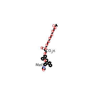 C=C(C)C(=O)OCCOCCOCCOCCOCCOCCOC(=C=O)CC(COc1ccc(C2(c3ccccc3)C=Cc3c4c(c5cc(N6CCOCC6)c(OC)cc5c3O2)-c2ccccc2C4(C)C)cc1)C(=O)O